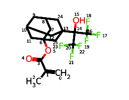 C=C(C)C(=O)OC12CC3CC(C1)CC(C(O)(C(F)(F)F)C(F)(F)F)(C3)C2